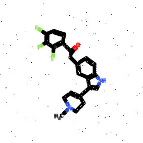 CN1CC=C(c2c[nH]c3ccc(CC(=O)c4ccc(F)c(F)c4F)cc23)CC1